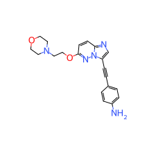 Nc1ccc(C#Cc2cnc3ccc(OCCN4CCOCC4)nn23)cc1